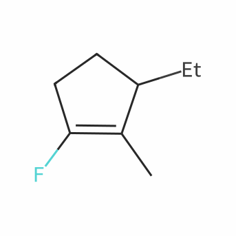 CCC1CCC(F)=C1C